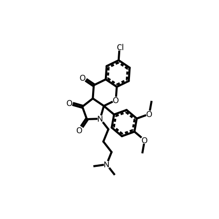 COc1ccc(C23Oc4ccc(Cl)cc4C(=O)C2C(=O)C(=O)N3CCCN(C)C)cc1OC